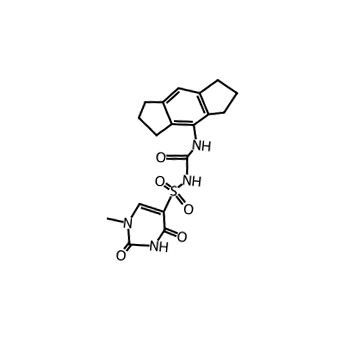 Cn1cc(S(=O)(=O)NC(=O)Nc2c3c(cc4c2CCC4)CCC3)c(=O)[nH]c1=O